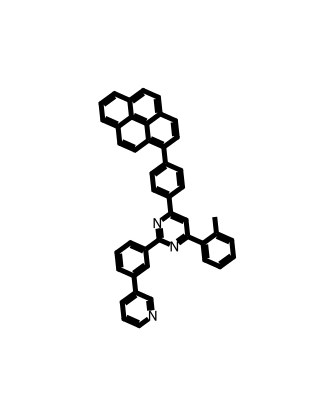 Cc1ccccc1-c1cc(-c2ccc(-c3ccc4ccc5cccc6ccc3c4c56)cc2)nc(-c2cccc(-c3cccnc3)c2)n1